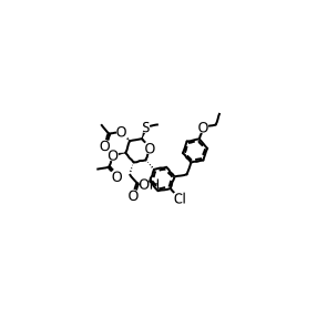 CCOc1ccc(Cc2cc([C@H]3O[C@H](SC)[C@@H](OC(C)=O)[C@H](OC(C)=O)[C@H]3CC(=O)O)ccc2Cl)cc1